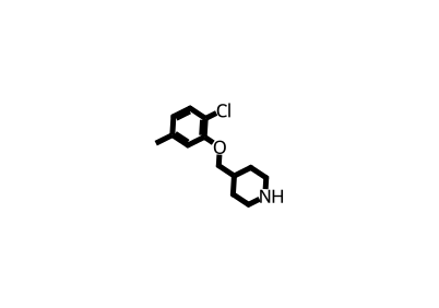 Cc1ccc(Cl)c(OCC2CCNCC2)c1